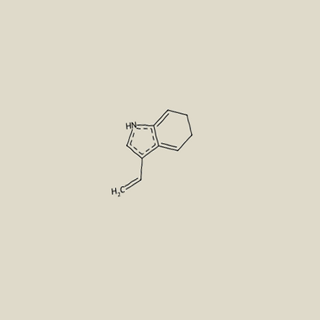 C=Cc1c[nH]c2c1=CCCC=2